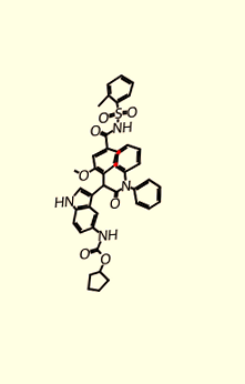 COc1cc(C(=O)NS(=O)(=O)c2ccccc2C)ccc1C(C(=O)N(c1ccccc1)c1ccccc1)c1c[nH]c2ccc(NC(=O)OC3CCCC3)cc12